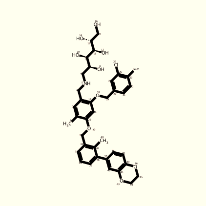 Cc1cc(CNC[C@H](O)[C@@H](O)[C@H](O)[C@H](O)CO)c(OCc2ccc(F)c(Cl)c2)cc1OCc1cccc(-c2ccc3c(c2)OCCO3)c1C